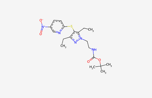 CCc1nn(CCNC(=O)OC(C)(C)C)c(CC)c1Sc1ccc([N+](=O)[O-])cn1